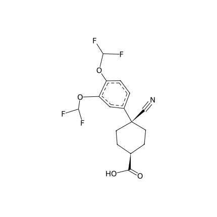 N#C[C@]1(c2ccc(OC(F)F)c(OC(F)F)c2)CC[C@H](C(=O)O)CC1